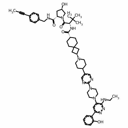 CC#Cc1ccc(CNC(=O)[C@@H]2C[C@@H](O)CN2C(=O)[C@@H](NC(=O)[C@H]2CCC3(CC2)C[C@H](N2CCC(c4cnc(N5CCN(c6cc(-c7ccccc7O)nnc6NCC)CC5)nc4)CC2)C3)C(C)(C)C)cc1